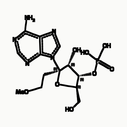 COCC[C@@]1(n2cnc3c(N)ncnc32)O[C@H](CO)[C@@H](OP(=O)(O)O)[C@H]1O